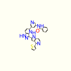 O=C(Nc1cncc(-c2ccc3[nH]nc(-c4cc5c(-c6cccs6)nccc5[nH]4)c3n2)c1)c1ccccc1